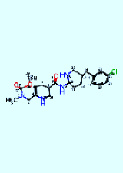 CN(CC1=CCC(C(=O)NC2CCC(Cc3cccc(Cl)c3)CN2)CN1)C(=O)OC(C)(C)C